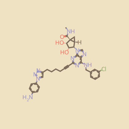 CNC(=O)[C@@]12C[C@@H]1[C@@H](n1cnc3c(NCc4cccc(Cl)c4)nc(C#CCCCCc4cn(-c5ccc(N)cc5)nn4)nc31)[C@H](O)[C@@H]2O